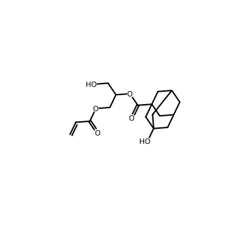 C=CC(=O)OCC(CO)OC(=O)C12CC3CC(CC(O)(C3)C1)C2